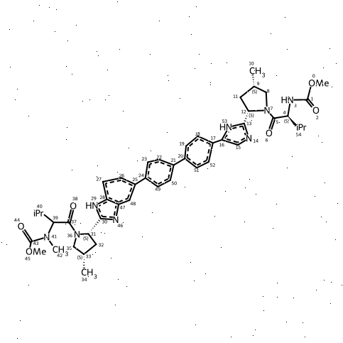 COC(=O)N[C@H](C(=O)N1C[C@@H](C)C[C@H]1c1ncc(-c2ccc(-c3ccc(-c4ccc5[nH]c([C@@H]6C[C@H](C)CN6C(=O)C(C(C)C)N(C)C(=O)OC)nc5c4)cc3)cc2)[nH]1)C(C)C